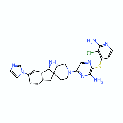 Nc1nc(N2CCC3(CC2)Cc2ccc(-n4ccnc4)cc2[C@H]3N)cnc1Sc1ccnc(N)c1Cl